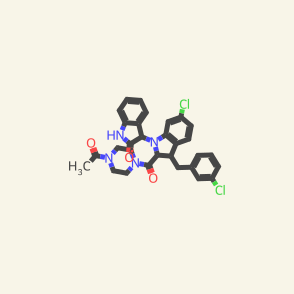 CC(=O)N1CCN(C(=O)C2C(Cc3cccc(Cl)c3)c3ccc(Cl)cc3N2C2C(=O)Nc3ccccc32)CC1